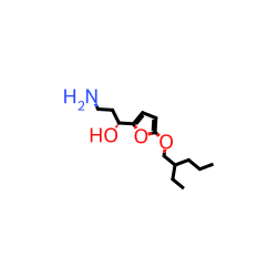 CCCC(CC)COc1ccc([C@H](O)CCN)o1